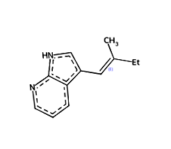 CC/C(C)=C/c1c[nH]c2ncccc12